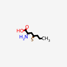 CCCC(=S)C[C@H](N)C(=O)O